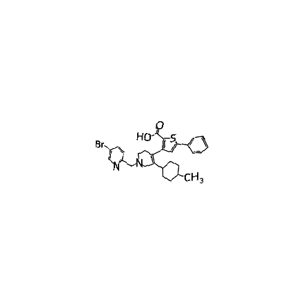 CC1CCC(C2=C(c3cc(-c4ccccc4)sc3C(=O)O)CCN(Cc3ccc(Br)cn3)C2)CC1